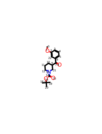 COc1cccc(C(=O)C2CCCN(C(=O)OC(C)(C)C)C2)c1